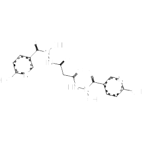 Cc1ccc(C(=S)N(C)NC(=O)CC(=O)NN(C)C(=S)c2ccc(C)nc2)cn1